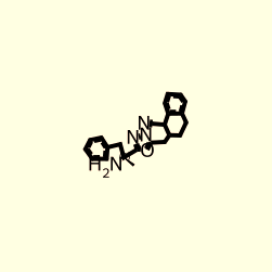 C[C@@](N)(Cc1ccccc1)c1nnc(CC2CCc3ccccc3C2C#N)o1